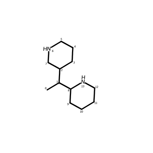 C[C](C1CCCNC1)C1CCCCN1